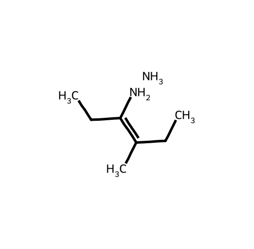 CCC(C)=C(N)CC.N